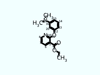 CCOC(=O)c1cccnc1Oc1cccc(N(C)C)c1